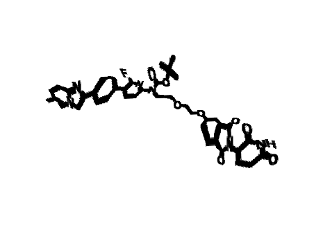 Cc1ccc2nc(-c3ccc(-c4ccc(N(CCOCCOc5ccc6c(c5)C(=O)N(C5CCC(=O)NC5=O)C6=O)C(=O)OC(C)(C)C)nc4F)cc3)cn2c1